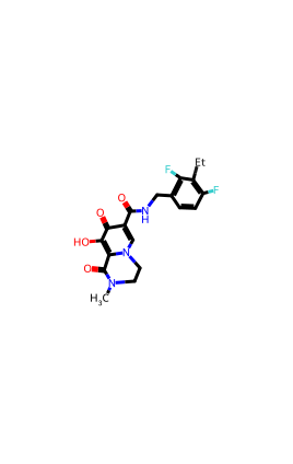 CCc1c(F)ccc(CNC(=O)c2cn3c(c(O)c2=O)C(=O)N(C)CC3)c1F